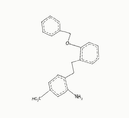 Nc1cc(C(=O)O)ccc1CCc1ccccc1OCc1ccccc1